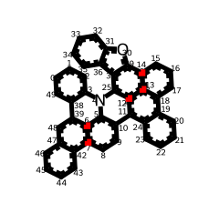 c1ccc(N(c2ccccc2-c2cc3ccccc3c3ccccc23)c2cccc3oc4ccccc4c23)c(-c2ccc3ccccc3c2)c1